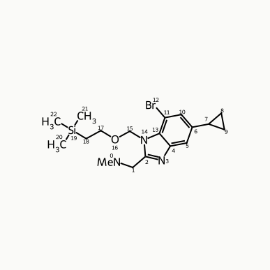 CNCc1nc2cc(C3CC3)cc(Br)c2n1COCC[Si](C)(C)C